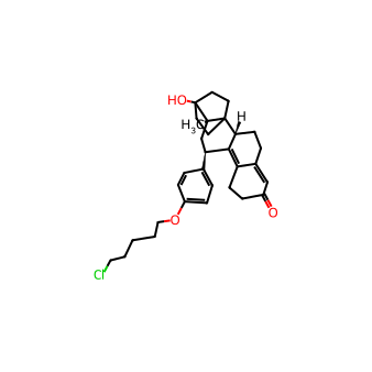 C[C@]12C[C@H](c3ccc(OCCCCCCl)cc3)C3=C4CCC(=O)C=C4CC[C@H]3C13CCC2(O)CC3